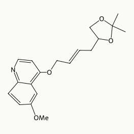 COc1ccc2nccc(OCC=CCC3COC(C)(C)O3)c2c1